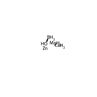 BO.[CaH2].[MgH2].[Zn]